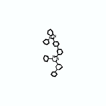 C1=CC(c2ccccc2)CC(C2=NC(c3cccc(-c4ccc(-c5nc6ccccc6n5-c5ccccc5)cc4)c3)=NC(c3ccccc3)C2)=C1